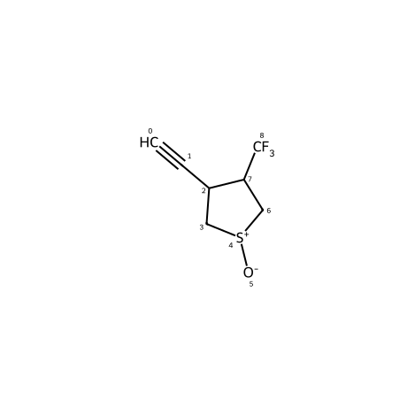 C#CC1C[S+]([O-])CC1C(F)(F)F